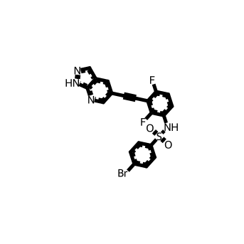 O=S(=O)(Nc1ccc(F)c(C#Cc2cnc3[nH]ncc3c2)c1F)c1ccc(Br)cc1